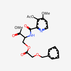 COC(=O)C(COC(=O)COCc1ccccc1)NC(=O)c1nccc(OC)c1OC(C)=O